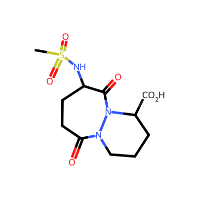 CS(=O)(=O)NC1CCC(=O)N2CCCC(C(=O)O)N2C1=O